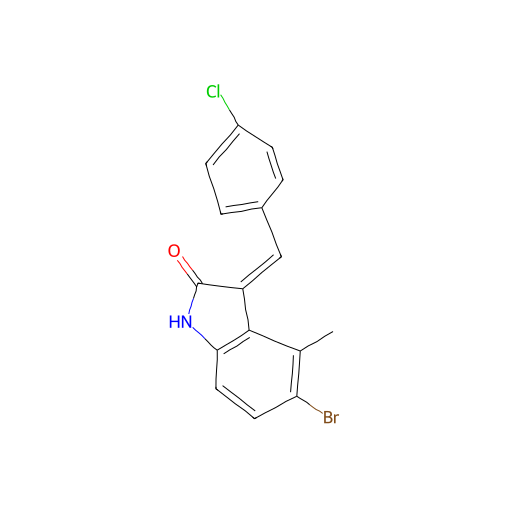 Cc1c(Br)ccc2c1C(=Cc1ccc(Cl)cc1)C(=O)N2